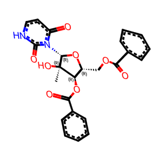 C[C@@]1(O)[C@H](OC(=O)c2ccccc2)[C@@H](COC(=O)c2ccccc2)O[C@H]1n1c(=O)cc[nH]c1=O